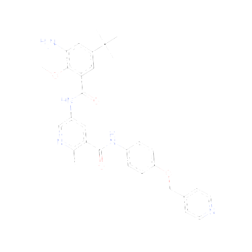 COc1c(N)cc(C(C)(C)C)cc1C(=O)Nc1cnc(C)c(C(=O)Nc2ccc(OCc3ccncc3)cc2)c1